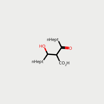 CCCCCCCC(=O)C(C(=O)O)C(O)CCCCCCC